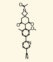 COc1cc(-c2ccc(C#N)cn2)cc(C)c1C1C(=O)CC2(CC1=O)CN(C(C)=O)C2